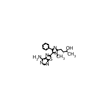 CC(O)[CH]Cc1nc(-c2ccccc2)c(-c2nc3c(N)ncnc3s2)n1C